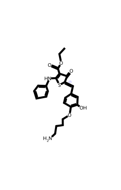 CCOC(=O)C1=C(Nc2ccccc2)S/C(=C\c2ccc(OCCCCN)c(O)c2)C1=O